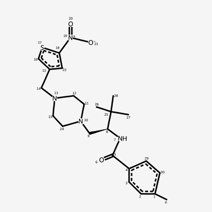 Cc1ccc(C(=O)N[C@@H](CN2CCN(Cc3csc([N+](=O)[O-])c3)CC2)C(C)(C)C)cc1